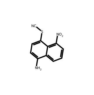 N#CSc1ccc(N)c2cccc([N+](=O)[O-])c12